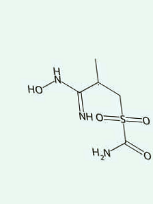 C[C](CS(=O)(=O)C(N)=O)C(=N)NO